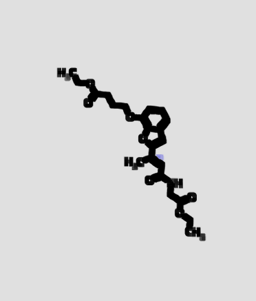 CCOC(=O)CCCOc1cccc2cc(/C(C)=C/C(=O)NCC(=O)OCC)oc12